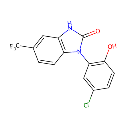 O=c1[nH]c2cc(C(F)(F)F)ccc2n1-c1cc(Cl)ccc1O